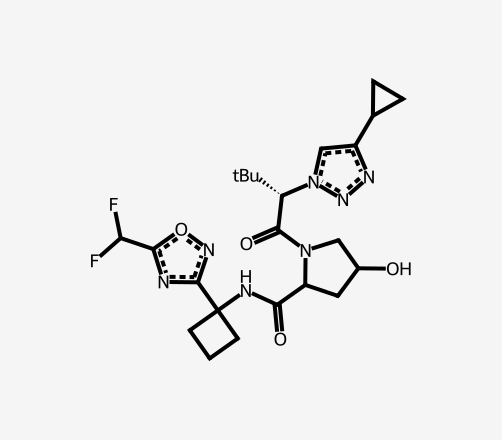 CC(C)(C)[C@@H](C(=O)N1CC(O)CC1C(=O)NC1(c2noc(C(F)F)n2)CCC1)n1cc(C2CC2)nn1